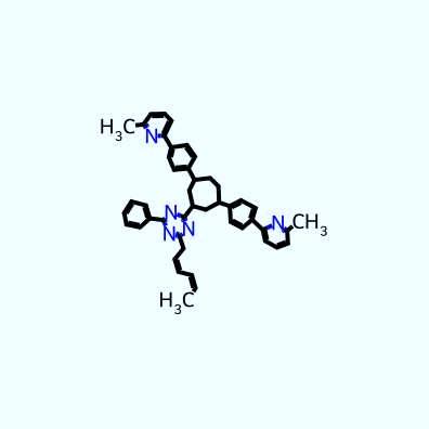 C/C=C\C=C/Cc1nc(-c2ccccc2)nc(C2CC(c3ccc(-c4cccc(C)n4)cc3)CCC(c3ccc(-c4cccc(C)n4)cc3)C2)n1